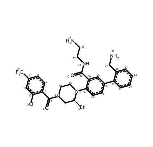 CC[C@@H]1CN(C(=O)c2ccc(C(F)(F)F)cc2Cl)CCN1c1ccc(-c2ccccc2CN)cc1C(=O)NCCN